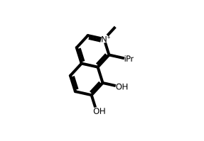 CC(C)c1c2c(O)c(O)ccc2cc[n+]1C